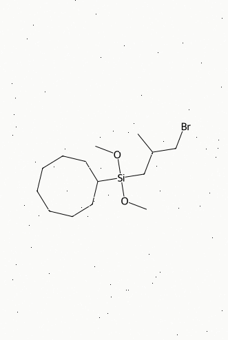 CO[Si](CC(C)CBr)(OC)C1CCCCCCC1